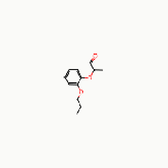 CCCOc1ccccc1OC(C)C=O